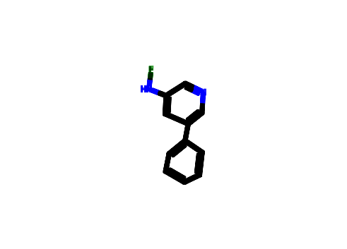 FNc1cncc(-c2ccccc2)c1